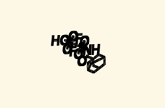 O=C(NS(=O)(=O)C(F)(F)S(=O)(=O)O)C12CC3CC(CC(C3)C1)C2